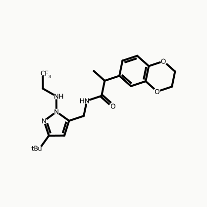 CC(C(=O)NCc1cc(C(C)(C)C)nn1NCC(F)(F)F)c1ccc2c(c1)OCCO2